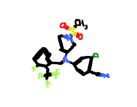 CS(=O)(=O)N1CC[C@H](N(Cc2cccc(F)c2C(F)(F)F)c2ccc(C#N)c(Cl)c2)C1